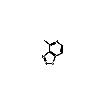 Cc1nccc2snnc12